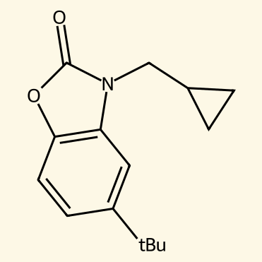 CC(C)(C)c1ccc2oc(=O)n(CC3CC3)c2c1